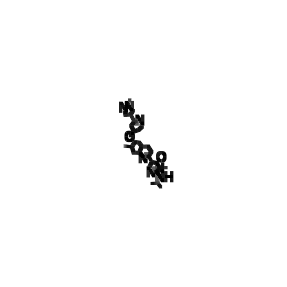 Cc1cc2nc(-c3cnc(NC(C)C)n(C)c3=O)ccc2cc1Oc1ccnc(-c2cnn(C)c2)c1